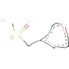 CS(=O)(=O)Cc1ccoc1